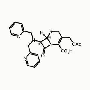 CC(=O)OCC1=C(C(=O)O)N2C(=O)[C@@H](N(Cc3ccccn3)Cc3ccccn3)[C@@H]2SC1